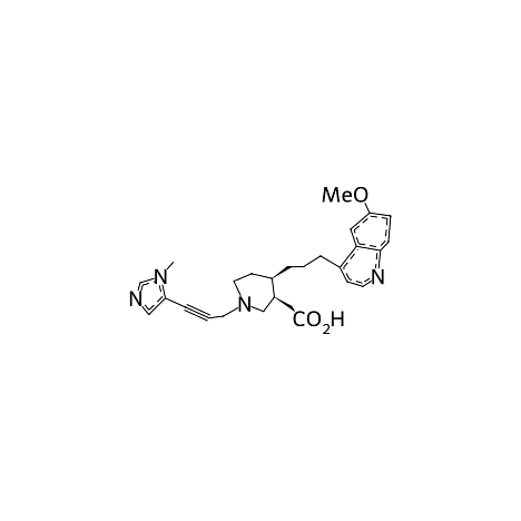 COc1ccc2nccc(CCC[C@@H]3CCN(CC#Cc4cncn4C)C[C@@H]3CC(=O)O)c2c1